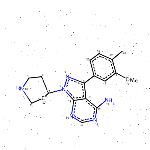 COc1cc(-c2nn(C3CCNCC3)c3ncnc(N)c23)ccc1C